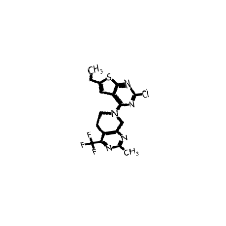 CCc1cc2c(N3CCc4c(nc(C)nc4C(F)(F)F)C3)nc(Cl)nc2s1